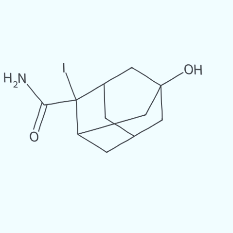 NC(=O)C1(I)C2CC3CC1CC(O)(C3)C2